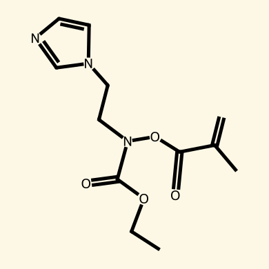 C=C(C)C(=O)ON(CCn1ccnc1)C(=O)OCC